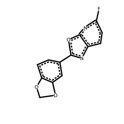 Fc1ccc2nc(-c3ccc4c(c3)OCO4)oc2n1